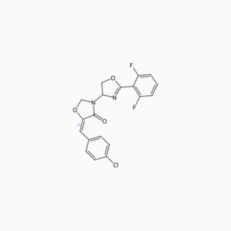 O=C1/C(=C\c2ccc(Cl)cc2)OCN1C1COC(c2c(F)cccc2F)=N1